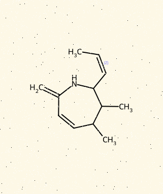 C=C1C=CC(C)C(C)C(/C=C\C)N1